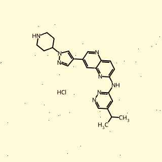 CC(C)c1cnnc(Nc2ccc3ncc(-c4cnn(C5CCNCC5)c4)cc3n2)c1.Cl